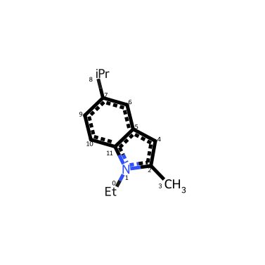 CCn1c(C)cc2cc(C(C)C)ccc21